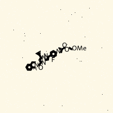 COCCOC(=O)C1CN(c2ccc(-c3cc4nc(C(=O)N5CCc6ccccc6[C@H]5C)cc(C5CC5)n4n3)c(F)c2)C1